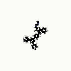 C/C=C\C=C/C1=Nc2c(c(-c3ccc(-c4cc(-c5ccncc5)nc(-c5ccncc5)c4)cc3)nc3ccccc23)[C@@H]1C